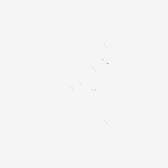 COc1cc(C#N)ccc1Cn1nc(C(=O)N[C@@H](C(N)=O)C(C)(C)C)c2ccccc21